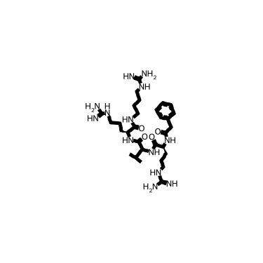 CC(C)C(NC(=O)[C@H](CCCNC(=N)N)NC(=O)Cc1ccccc1)C(=O)N[C@@H](CCCNC(=N)N)C(=O)NCCCCNC(=N)N